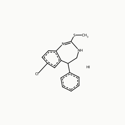 CSC1=Nc2ccc(Cl)cc2C(c2ccccc2)CN1.I